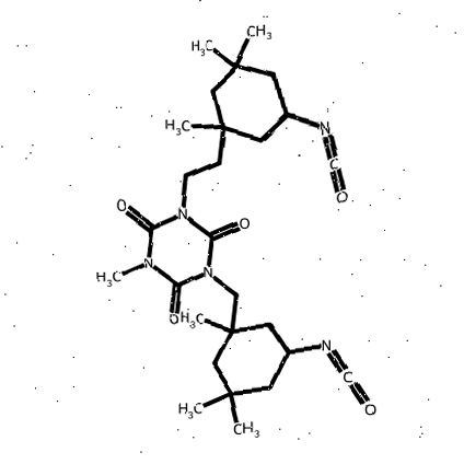 Cn1c(=O)n(CCC2(C)CC(N=C=O)CC(C)(C)C2)c(=O)n(CC2(C)CC(N=C=O)CC(C)(C)C2)c1=O